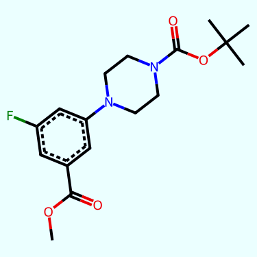 COC(=O)c1cc(F)cc(N2CCN(C(=O)OC(C)(C)C)CC2)c1